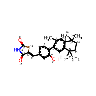 Cc1cc2c(cc1-c1ccc(/C=C3\SC(=O)NC3=O)cc1O)C(C)(C)CCC2(C)C